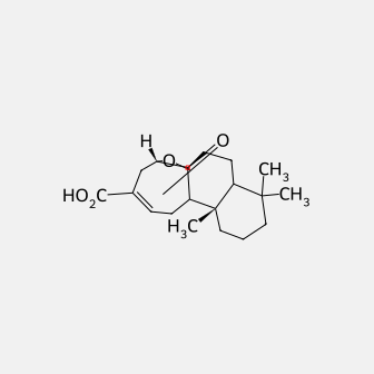 CC1(C)CCC[C@@]2(C)C1CC[C@@]13C(=O)O[C@@H]1CC(C(=O)O)=CCC23